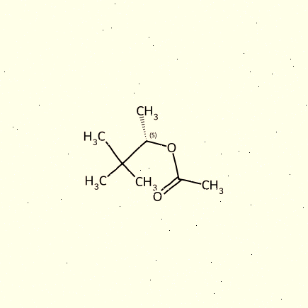 CC(=O)O[C@@H](C)C(C)(C)C